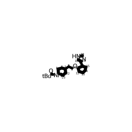 CC(C)(C)C(=O)Nc1ccc(CCOc2ccccc2-c2c[nH]cn2)cc1